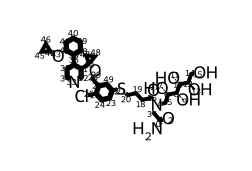 NC(=O)CN(C[C@H](O)[C@@H](O)[C@H](O)[C@H](O)CO)C(=O)CCCSc1ccc(Cl)c(COC2(c3cnccc3-c3ccccc3OC3CC3)CC2)c1